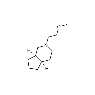 COCCN1CC[C@H]2CCC[C@H]2C1